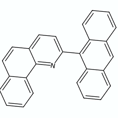 c1ccc2c(-c3ccc4ccc5ccccc5c4n3)c3ccccc3cc2c1